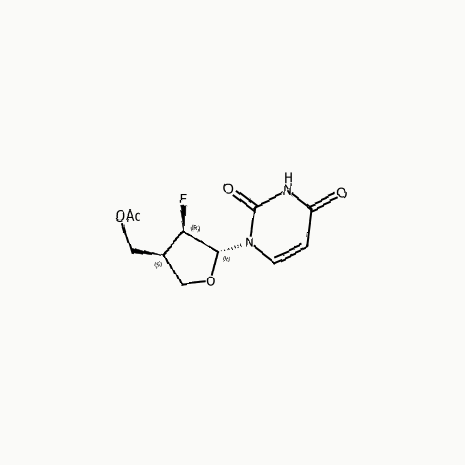 CC(=O)OC[C@@H]1CO[C@@H](n2ccc(=O)[nH]c2=O)[C@@H]1F